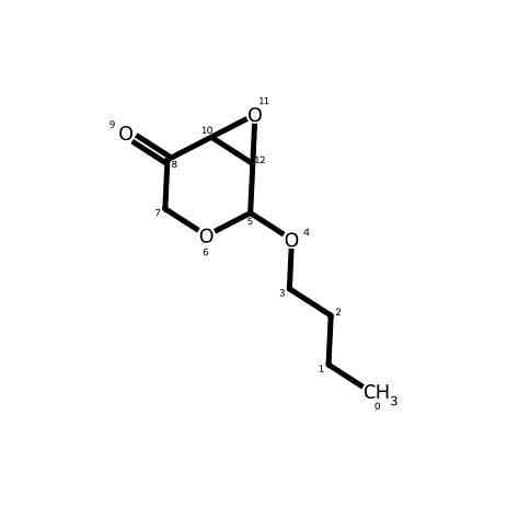 CCCCOC1OCC(=O)C2OC12